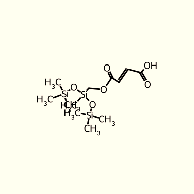 C[Si](C)(C)O[Si](C)(COC(=O)C=CC(=O)O)O[Si](C)(C)C